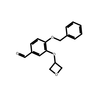 O=Cc1ccc(OCc2ccccc2)c(OC2COC2)c1